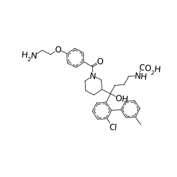 Cc1cccc(-c2c(Cl)cccc2C(O)(CCCNC(=O)O)C2CCCN(C(=O)c3ccc(OCCN)cc3)C2)c1